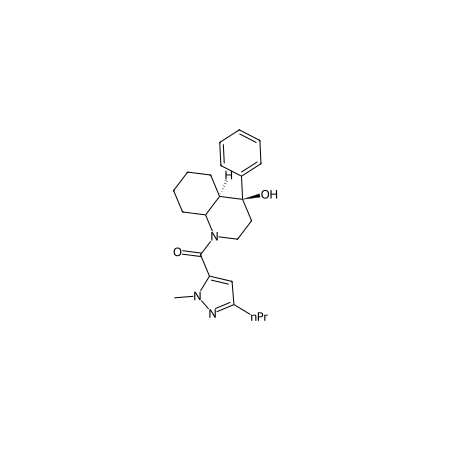 CCCc1cc(C(=O)N2CC[C@@](O)(c3ccccc3)[C@@H]3CCCCC32)n(C)n1